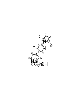 Cc1cc(-n2c(C)ccc2C)ncc1N1CCN(C(=O)O)[C@@H](CO)C1